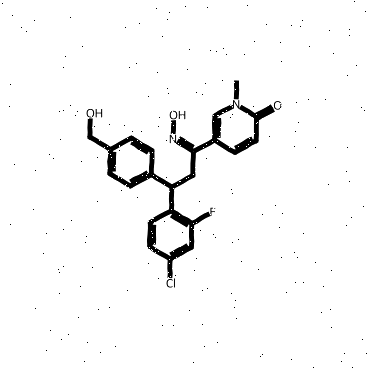 Cn1cc(C(CC(c2ccc(CO)cc2)c2ccc(Cl)cc2F)=NO)ccc1=O